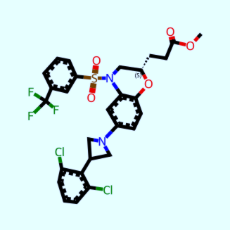 COC(=O)CC[C@H]1CN(S(=O)(=O)c2cccc(C(F)(F)F)c2)c2cc(N3CC(c4c(Cl)cccc4Cl)C3)ccc2O1